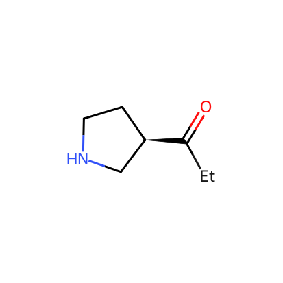 CCC(=O)[C@@H]1CCNC1